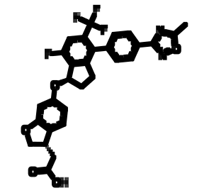 Cc1nc(-c2ccc(-c3c(C(F)(F)F)cc(F)c4c3CC[C@H]4Oc3ccc4c(c3)OC[C@H]4CC(=O)O)cc2)no1